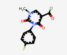 Cn1cc(C(=O)Cl)c(=O)n(-c2ccc(F)cc2)c1=O